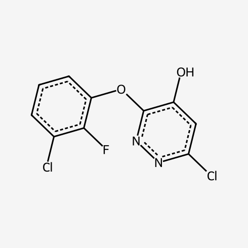 Oc1cc(Cl)nnc1Oc1cccc(Cl)c1F